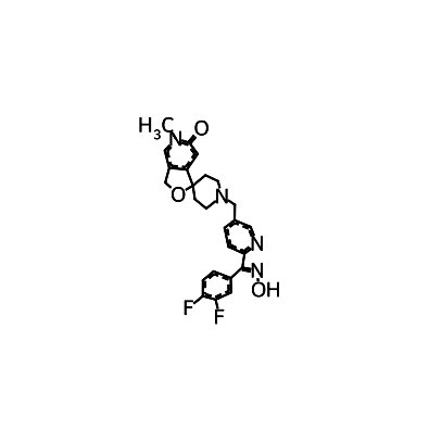 Cn1cc2c(cc1=O)C1(CCN(Cc3ccc(/C(=N/O)c4ccc(F)c(F)c4)nc3)CC1)OC2